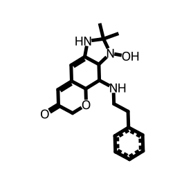 CC1(C)NC2=CC3=CC(=O)COC3C(NCCc3ccccc3)C2N1O